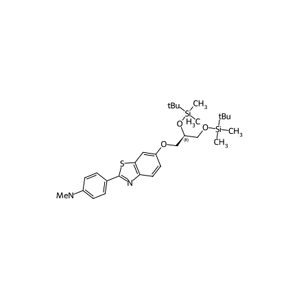 CNc1ccc(-c2nc3ccc(OC[C@H](CO[Si](C)(C)C(C)(C)C)O[Si](C)(C)C(C)(C)C)cc3s2)cc1